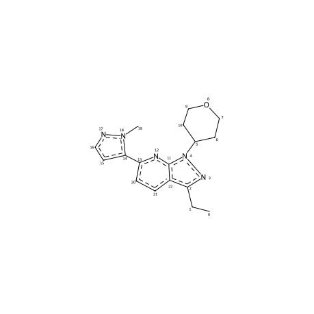 CCc1nn(C2CCOCC2)c2nc(-c3ccnn3C)ccc12